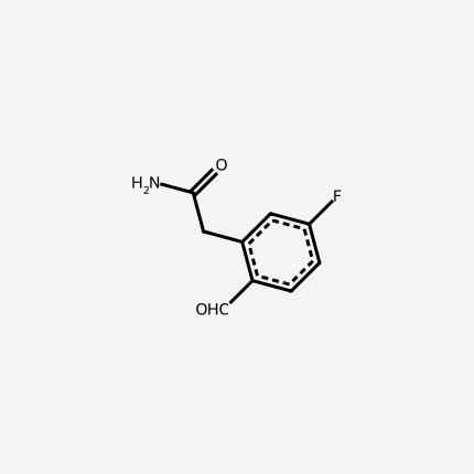 NC(=O)Cc1cc(F)ccc1C=O